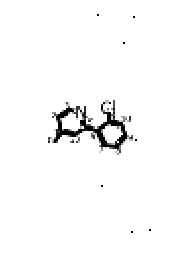 Cc1ccnc(-c2ccccc2Cl)c1